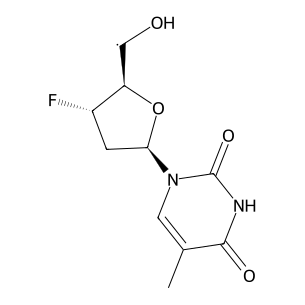 Cc1cn([C@H]2C[C@H](F)[C@@H]([CH]O)O2)c(=O)[nH]c1=O